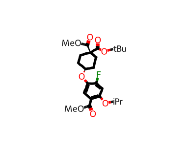 COC(=O)c1cc(O[C@H]2CC[C@@](C(=O)OC)(C(=O)OC(C)(C)C)CC2)c(F)cc1OC(C)C